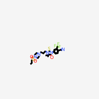 CCCS(=O)(=O)N1CCN(CCCN2C(=S)N(c3ccc(C#N)c(C(F)(F)F)c3)C(=O)C2(C)C)CC1